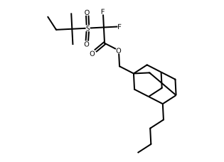 CCCCC1C2CC3CC1CC(COC(=O)C(F)(F)S(=O)(=O)C(C)(C)CC)(C3)C2